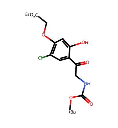 CCOC(=O)COc1cc(O)c(C(=O)CNC(=O)OC(C)(C)C)cc1Cl